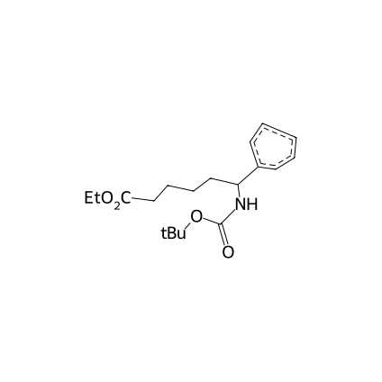 CCOC(=O)CCCCC(NC(=O)OC(C)(C)C)c1ccccc1